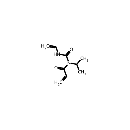 C=CNC(=O)N(C(=O)C=C)C(C)C